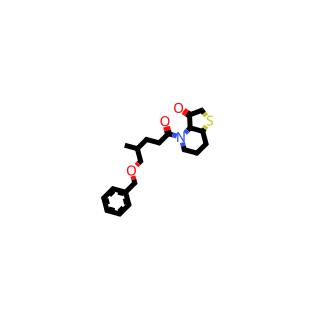 CC(CCC(=O)N1CCCC2SCC(=O)C21)COCc1ccccc1